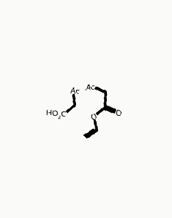 C=COC(=O)CC(C)=O.CC(=O)CC(=O)O